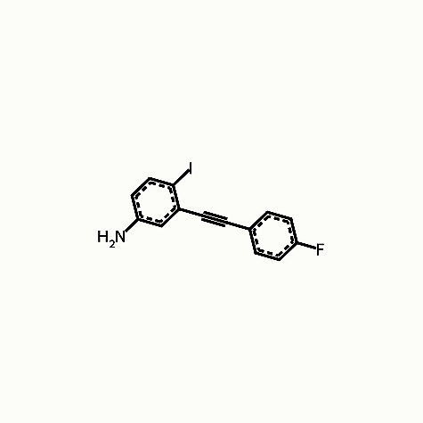 Nc1ccc(I)c(C#Cc2ccc(F)cc2)c1